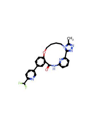 Cc1nnc2n1CCCCOc1ccc(-c3ccc(C(F)F)nc3)cc1C(=O)Nc1cccc-2n1